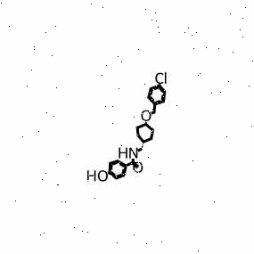 O=C(NC[C@H]1CC[C@@H](OCc2ccc(Cl)cc2)CC1)c1ccc(O)cc1